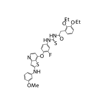 CCOc1cccc(CC(=O)NC(=S)Nc2ccc(Oc3ccnc4cc(Nc5cccc(OC)c5)sc34)c(F)c2)c1OCC